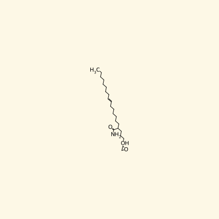 C1CO1.CCCCCCCCC=CCCCCCCC(CCCO)C(N)=O